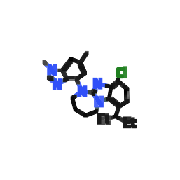 CCC(CC)c1ccc(Cl)c2nc3n(c12)CCCCN3c1cc(C)cc2c1ncn2C